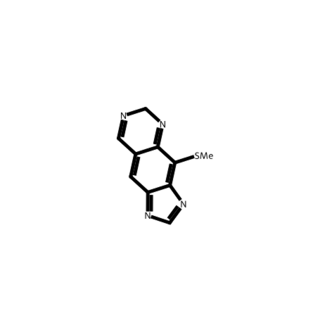 CSc1c2c(cc3c1=NCN=C3)=NC=N2